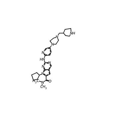 CN(C)C(=O)c1cc2cnc(Nc3ccc(N4CCN(CC5CCNCC5)CC4)cn3)nc2n1C1CCCC1